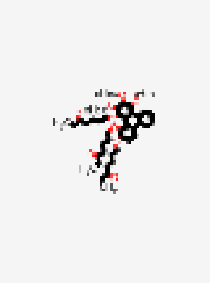 C=CC(=O)CCCCOc1ccc2c3ccccc3c3c(OCCCCCC)c(OCCCCCC)c(OCCCCCC)c(OCCCCC(=O)C=C)c3c2c1OCCCCC(=O)C=C